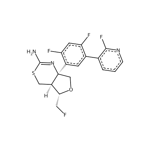 NC1=N[C@@]2(c3cc(-c4cccnc4F)c(F)cc3F)CO[C@H](CF)[C@H]2CS1